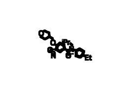 CCc1ccc(N(CC(C)C)[S+]([O-])c2ccc(OCC3CCOCC3)c(S(#N)=O)c2)cc1